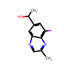 Cc1cnc2cc(C(C)O)cc(I)c2n1